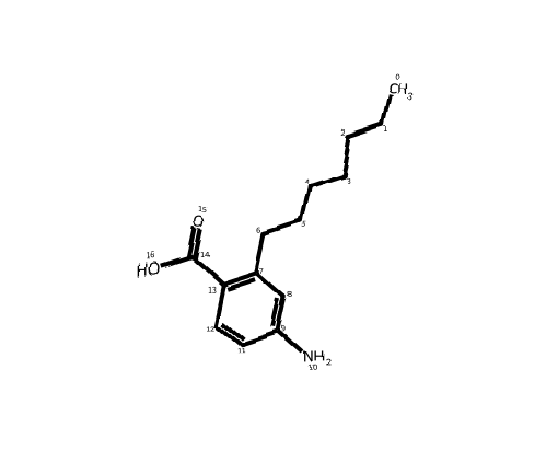 CCCCCCCc1cc(N)ccc1C(=O)O